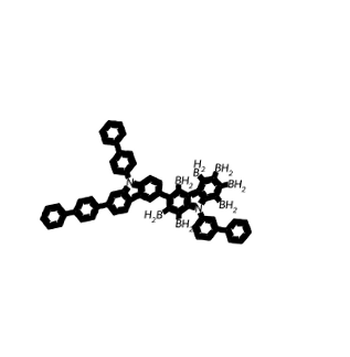 Bc1c(B)c(B)c2c(c1B)c1c(B)c(-c3ccc4c(c3)c3ccc(-c5ccc(-c6ccccc6)cc5)cc3n4-c3ccc(-c4ccccc4)cc3)c(B)c(B)c1n2-c1cccc(-c2ccccc2)c1